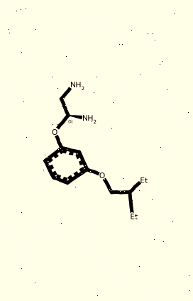 CCC(CC)COc1cccc(O[C@H](N)CN)c1